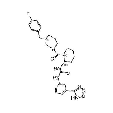 O=C(Nc1cccc(-c2nnn[nH]2)c1)N[C@@H]1CCCC[C@H]1C(=O)N1CCC[C@@H](Cc2ccc(F)cc2)C1